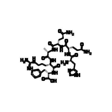 C[C@H](NC(=O)[C@H](CCC(N)=O)NC(=O)[C@H](CCC(N)=O)NC(=O)[C@@H](N)Cc1c[nH]cn1)C(=O)N[C@@H](CCCNC(=N)N)C(=O)N[C@@H](Cc1ccccc1)C(=O)O